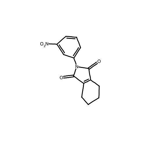 O=C1C2=C(CCCC2)C(=O)N1c1cccc([N+](=O)[O-])c1